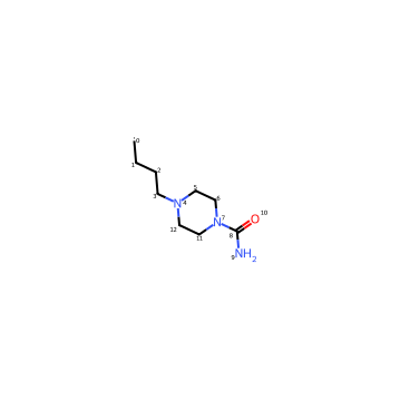 [CH2]CCCN1CCN(C(N)=O)CC1